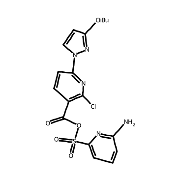 CC(C)COc1ccn(-c2ccc(C(=O)OS(=O)(=O)c3cccc(N)n3)c(Cl)n2)n1